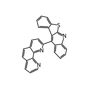 c1cnc2c(c1)ccc1ccc(-c3c4ccccc4nc4sc5ccccc5c34)nc12